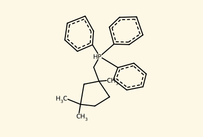 CC1(C)CCC(C)(C[PH](c2ccccc2)(c2ccccc2)c2ccccc2)C1